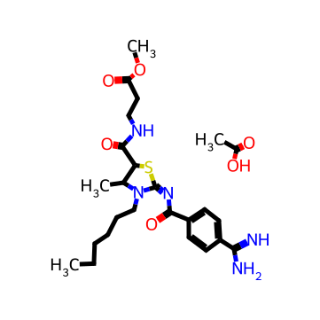 CC(=O)O.CCCCCCN1C(=NC(=O)c2ccc(C(=N)N)cc2)SC(C(=O)NCCC(=O)OC)C1C